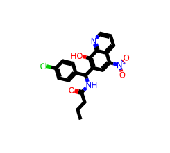 CCCC(=O)NC(c1ccc(Cl)cc1)c1cc([N+](=O)[O-])c2cccnc2c1O